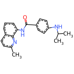 Cc1ccc2cccc(NC(=O)c3ccc(NC(C)C)cc3)c2n1